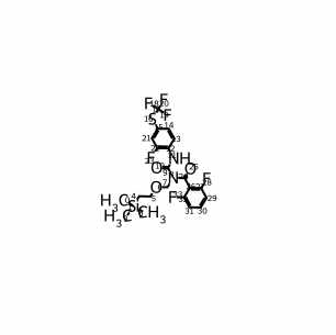 C[Si](C)(C)CCOCN(C(=O)Nc1ccc(SC(F)(F)F)cc1F)C(=O)c1c(F)cccc1F